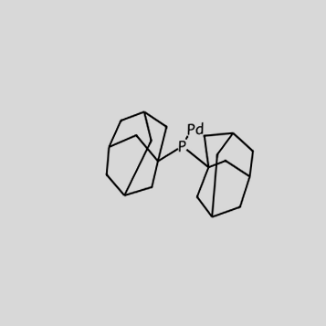 [Pd][P](C12CC3CC(CC(C3)C1)C2)C12CC3CC(CC(C3)C1)C2